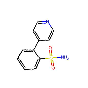 NS(=O)(=O)c1ccccc1-c1c[c]ncc1